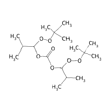 CC(C)C(OOC(C)(C)C)OC(=O)OC(OOC(C)(C)C)C(C)C